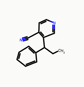 CCC(c1ccccc1)c1cnccc1C#N